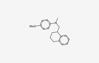 COc1ccc(N(C)CC2CCCc3ccccc32)cc1